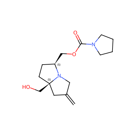 C=C1CN2[C@H](COC(=O)N3CCCC3)CC[C@@]2(CO)C1